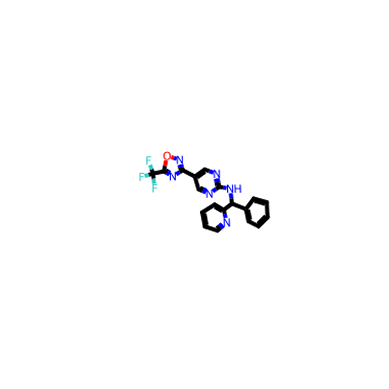 FC(F)(F)c1nc(-c2cnc(NC(c3ccccc3)c3ccccn3)nc2)no1